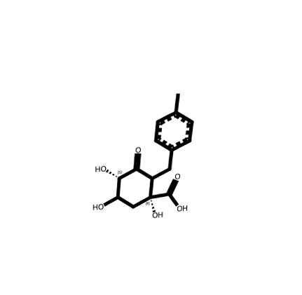 Cc1ccc(CC2C(=O)[C@@H](O)C(O)C[C@]2(O)C(=O)O)cc1